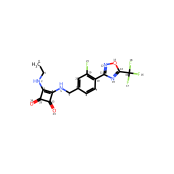 CCNc1c(NCc2ccc(-c3noc(C(F)(F)F)n3)c(F)c2)c(=O)c1=O